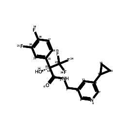 O=C(NCc1cncc(C2CC2)c1)[C@@](O)(c1ccc(F)c(F)c1)C(F)(F)F